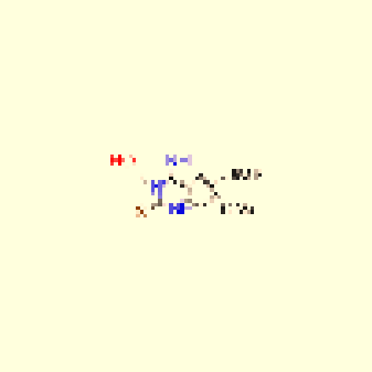 COc1cc2[nH]c(=S)n(CCO)c(=N)c2cc1OC